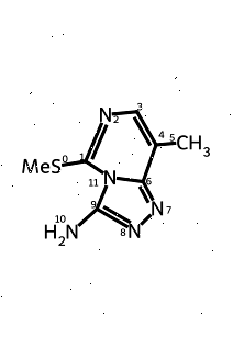 CSc1ncc(C)c2nnc(N)n12